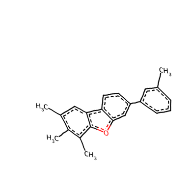 Cc1cccc(-c2ccc3c(c2)oc2c(C)c(C)c(C)cc23)c1